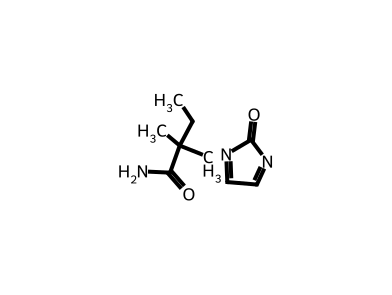 CCC(C)(C)C(N)=O.O=C1N=CC=N1